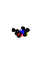 c1ccc(-c2ccc(-c3nc(-n4c5ccccc5c5c6ccccc6c6sc7ccccc7c6c54)nc4oc5ccccc5c34)c3ccccc23)cc1